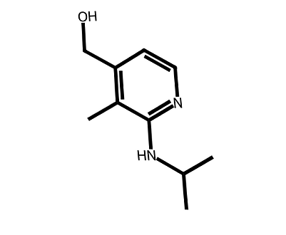 Cc1c(CO)ccnc1NC(C)C